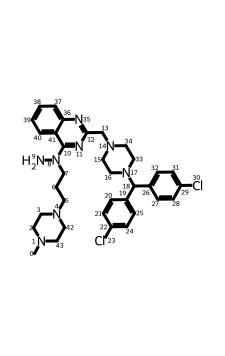 CN1CCN(CCCN(N)c2nc(CN3CCN(C(c4ccc(Cl)cc4)c4ccc(Cl)cc4)CC3)nc3ccccc23)CC1